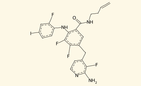 C=CCCNC(=O)c1cc(Cc2ccnc(N)c2F)c(F)c(F)c1Nc1ccc(I)cc1F